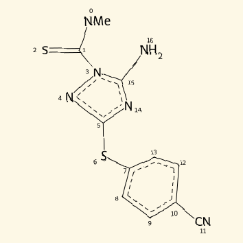 CNC(=S)n1nc(Sc2ccc(C#N)cc2)nc1N